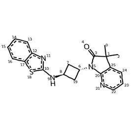 CC1(C)C(=O)N([C@H]2C[C@H](Nc3nc4ccccc4s3)C2)c2ncccc21